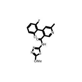 COc1nnc(NC(=O)c2cnc(C)cc2-c2c(F)cccc2Cl)s1